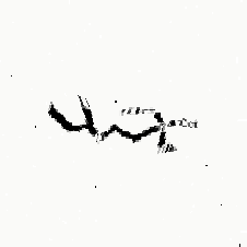 C=CC(=O)OCC[N+](CCCC)(CCCCCCCC)CCCCCCCC